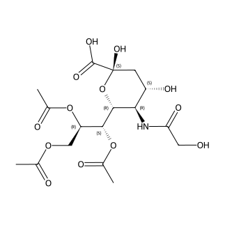 CC(=O)OC[C@@H](OC(C)=O)[C@@H](OC(C)=O)[C@@H]1O[C@](O)(C(=O)O)C[C@H](O)[C@H]1NC(=O)CO